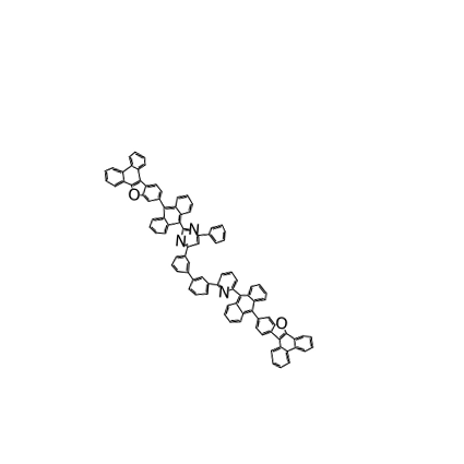 c1ccc(-c2cc(-c3cccc(-c4cccc(-c5cccc(-c6c7ccccc7c(-c7ccc8c(c7)oc7c9ccccc9c9ccccc9c87)c7ccccc67)n5)c4)c3)nc(-c3c4ccccc4c(-c4ccc5c(c4)oc4c6ccccc6c6ccccc6c54)c4ccccc34)n2)cc1